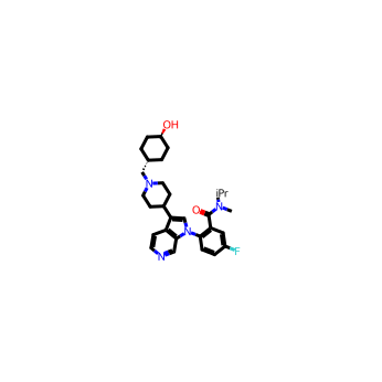 CC(C)N(C)C(=O)c1cc(F)ccc1-n1cc(C2CCN(C[C@H]3CC[C@H](O)CC3)CC2)c2ccncc21